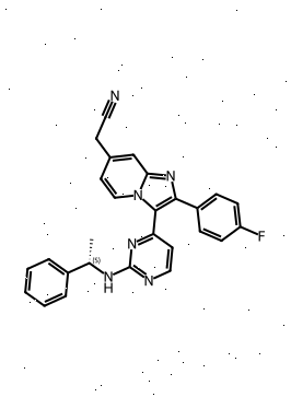 C[C@H](Nc1nccc(-c2c(-c3ccc(F)cc3)nc3cc(CC#N)ccn23)n1)c1ccccc1